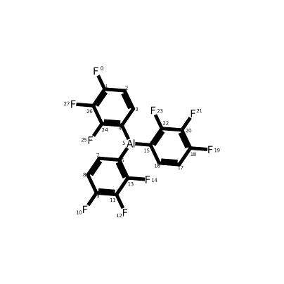 Fc1cc[c]([Al]([c]2ccc(F)c(F)c2F)[c]2ccc(F)c(F)c2F)c(F)c1F